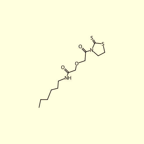 CCCCCCNC(=O)COCC(=O)N1CCSC1=S